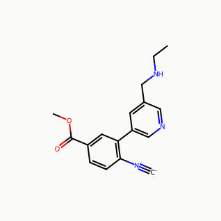 [C-]#[N+]c1ccc(C(=O)OC)cc1-c1cncc(CNCC)c1